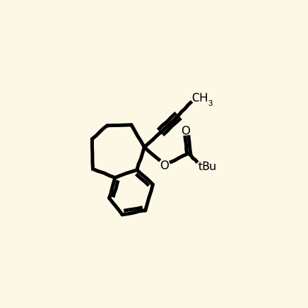 CC#CC1(OC(=O)C(C)(C)C)CCCCc2ccccc21